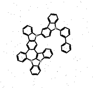 c1ccc(-c2cccc(-n3c4ccccc4c4cc(-n5c6ccccc6c6cc7c(cc65)-c5c6ccccc6n6c8ccccc8n(c56)-c5ccccc5-7)ccc43)c2)cc1